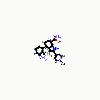 CC(=O)N1CC=C(c2cc3c(-c4cccc(N)c4C)ccc(C(N)=O)c3[nH]2)CC1